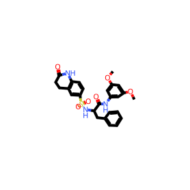 COc1cc(NC(=O)C(Cc2ccccc2)NS(=O)(=O)c2ccc3c(c2)CCC(=O)N3)cc(OC)c1